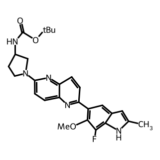 COc1c(-c2ccc3nc(N4CCC(NC(=O)OC(C)(C)C)C4)ccc3n2)cc2cc(C)[nH]c2c1F